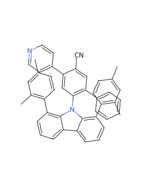 Cc1ccc(-c2cccc3c4cccc(-c5ccc(C)cc5C)c4n(-c4cc(-c5ccncc5)c(C#N)cc4-c4ccccc4)c23)c(C)c1